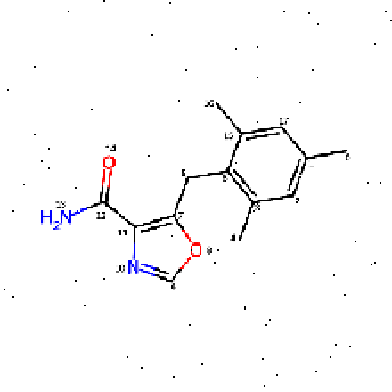 Cc1cc(C)c(Cc2ocnc2C(N)=O)c(C)c1